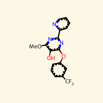 COc1nc(-c2ccccn2)nc(Oc2cccc(C(F)(F)F)c2)c1O